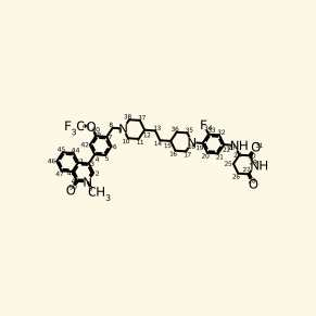 Cn1cc(-c2ccc(CN3CCC(CCC4CCN(c5ccc(NC6CCC(=O)NC6=O)cc5F)CC4)CC3)c(OC(F)(F)F)c2)c2ccccc2c1=O